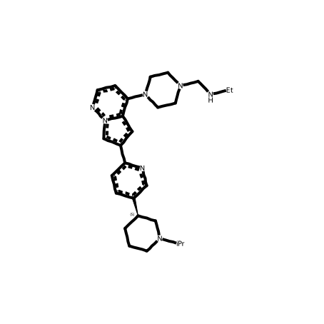 CCNCN1CCN(c2ccnn3cc(-c4ccc([C@@H]5CCCN(C(C)C)C5)cn4)cc23)CC1